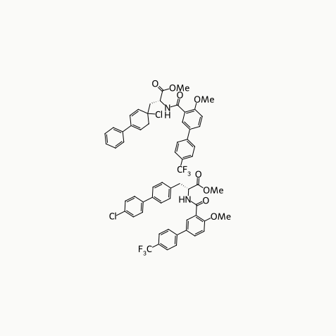 COC(=O)[C@@H](CC1(Cl)C=CC(c2ccccc2)=CC1)NC(=O)c1cc(-c2ccc(C(F)(F)F)cc2)ccc1OC.COC(=O)[C@@H](Cc1ccc(-c2ccc(Cl)cc2)cc1)NC(=O)c1cc(-c2ccc(C(F)(F)F)cc2)ccc1OC